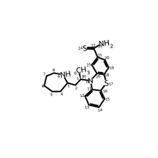 C[C@H](CC1CCCCCN1)N1c2ccccc2Sc2ccc(C(N)=S)cc21